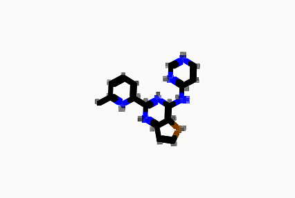 Cc1cccc(-c2nc(Nc3ccncn3)c3sccc3n2)n1